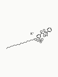 CCCCCCCCCCCCCCCCCCOc1ccc(C(=O)C(OC)C(=O)Nc2ccccc2)cc1S(=O)(=O)[O-].[K+]